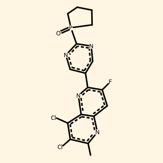 Cc1nc2cc(F)c(-c3cnc(P4(=O)CCCC4)nc3)nc2c(Cl)c1Cl